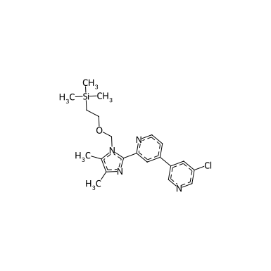 Cc1nc(-c2cc(-c3cncc(Cl)c3)ccn2)n(COCC[Si](C)(C)C)c1C